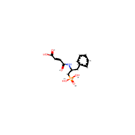 O=C(O)C=CC(=O)NC(Cc1ccccc1)CP(=O)(O)O